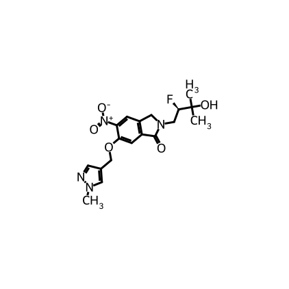 Cn1cc(COc2cc3c(cc2[N+](=O)[O-])CN(C[C@@H](F)C(C)(C)O)C3=O)cn1